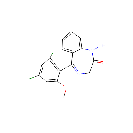 CCOc1cc(Cl)cc(Cl)c1C1=NCC(=O)N(N)c2ccccc21